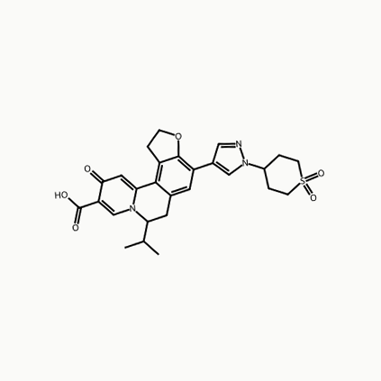 CC(C)C1Cc2cc(-c3cnn(C4CCS(=O)(=O)CC4)c3)c3c(c2-c2cc(=O)c(C(=O)O)cn21)CCO3